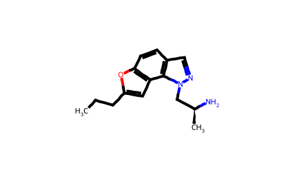 CCCc1cc2c(ccc3cnn(C[C@H](C)N)c32)o1